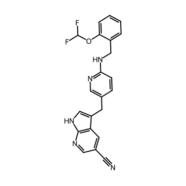 N#Cc1cnc2[nH]cc(Cc3ccc(NCc4ccccc4OC(F)F)nc3)c2c1